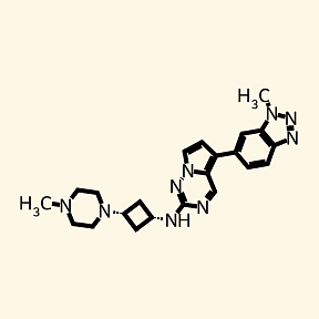 CN1CCN([C@H]2C[C@@H](Nc3ncc4c(-c5ccc6nnn(C)c6c5)ccn4n3)C2)CC1